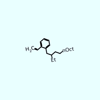 C=Cc1ccccc1CC(CC)CCCCCCCCCC